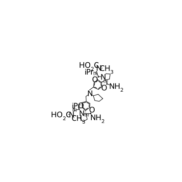 CC(C)[C@@H](C(=O)N1CCC[C@@]1(C(N)=O)c1ccc(CN(Cc2ccc([C@]3(C(N)=O)CCCN3C(=O)[C@H](C(C)C)N(C)C(=O)O)cc2)C2CCCC2)cc1)N(C)C(=O)O